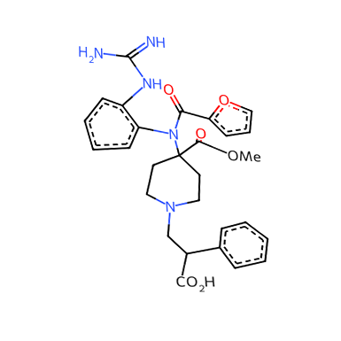 COC(=O)C1(N(C(=O)c2ccco2)c2ccccc2NC(=N)N)CCN(CC(C(=O)O)c2ccccc2)CC1